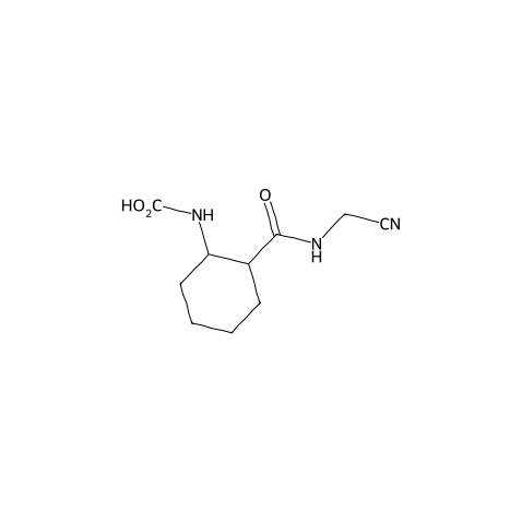 N#CCNC(=O)C1CCCCC1NC(=O)O